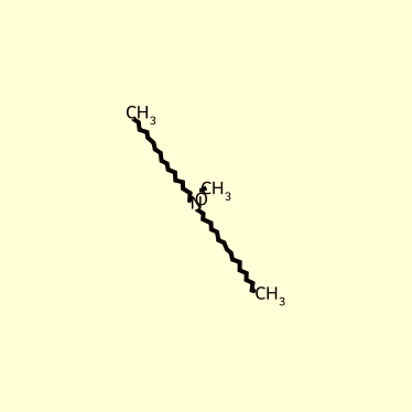 CCCCCCCCCCCCCCCCCCN(CCCCCCCCCCCCCCCCCC)OCC